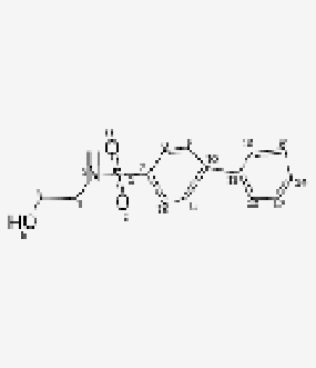 O=S(=O)(NCCO)c1ccc(-c2ccccc2)cc1